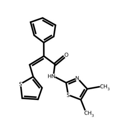 Cc1nc(NC(=O)C(=Cc2cccs2)c2ccccc2)sc1C